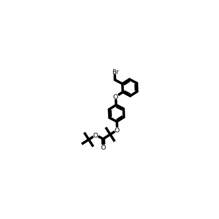 CC(C)(C)OC(=O)C(C)(C)Oc1ccc(Oc2ccccc2CBr)cc1